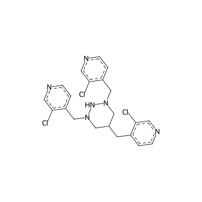 Clc1cnccc1CC1CN(Cc2ccncc2Cl)NN(Cc2ccncc2Cl)C1